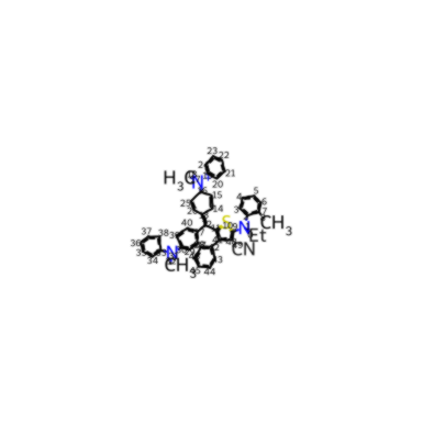 CCN(c1ccccc1C)c1sc(C(=C2C=CC(=[N+](C)c3ccccc3)C=C2)c2ccc(N(C)c3ccccc3)cc2)c(-c2ccccc2)c1C#N